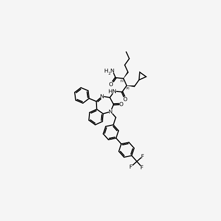 CCCC[C@H](C(N)=O)[C@@H](CC1CC1)C(=O)NC1N=C(c2ccccc2)c2ccccc2N(Cc2cccc(-c3ccc(C(F)(F)F)cc3)c2)C1=O